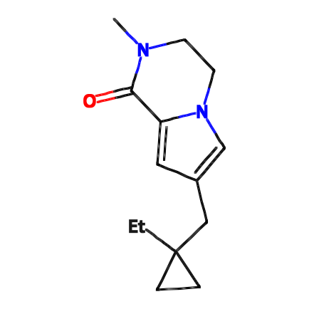 CCC1(Cc2cc3n(c2)CCN(C)C3=O)CC1